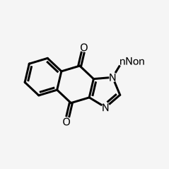 CCCCCCCCCn1cnc2c1C(=O)c1ccccc1C2=O